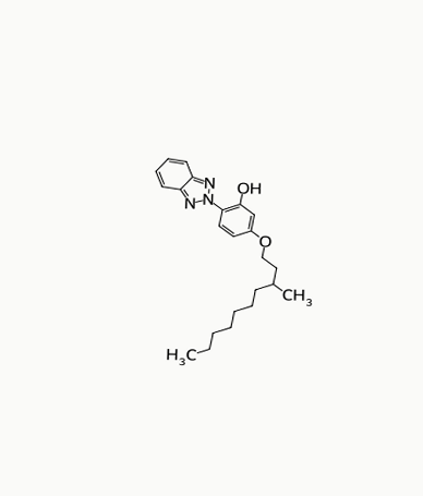 CCCCCCCC(C)CCOc1ccc(-n2nc3ccccc3n2)c(O)c1